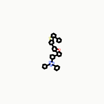 c1ccc(-c2nc(-c3ccccc3)nc(-c3cccc(-c4cccc5oc6cc(-c7ccc8sc9cccc(-c%10ccccc%10)c9c8c7)ccc6c45)c3)n2)cc1